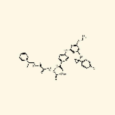 COC(=O)[C@H](CNC(=O)C(=O)NCC(C)c1ccccc1)NC(=O)c1ccc(Nc2nc(NC3(c4ccc(Cl)cc4)CC3)nc(OCC(F)(F)F)n2)cc1